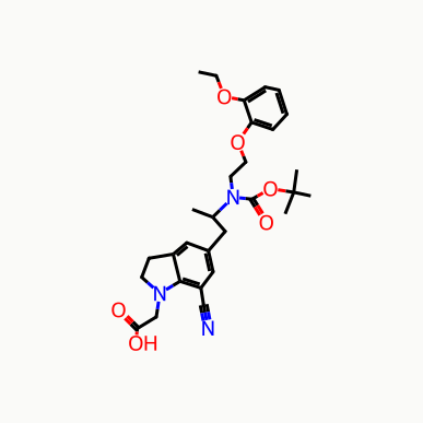 CCOc1ccccc1OCCN(C(=O)OC(C)(C)C)C(C)Cc1cc(C#N)c2c(c1)CCN2CC(=O)O